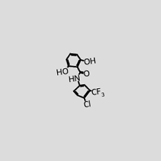 O=C(Nc1ccc(Cl)c(C(F)(F)F)c1)c1c(O)cccc1O